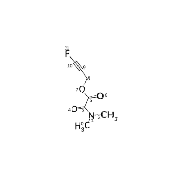 CN(C)C(=O)C(=O)OCC#CF